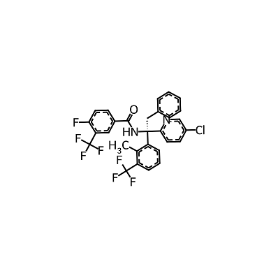 Cc1c(C(F)(F)F)cccc1[C@@](Cc1ccccc1)(NC(=O)c1ccc(F)c(C(F)(F)F)c1)c1ccc(Cl)cn1